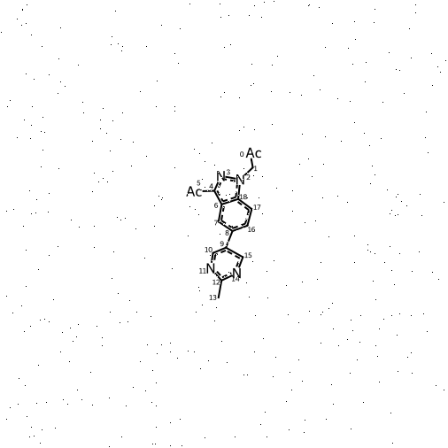 CC(=O)Cn1nc(C(C)=O)c2cc(-c3cnc(C)nc3)ccc21